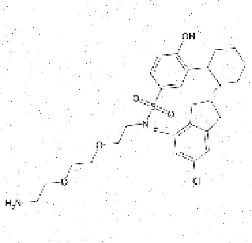 NCCOCCOCCNS(=O)(=O)c1ccc(O)c(C2CCCCN2[C@@H]2Cc3cc(Cl)cc(F)c3C2)c1